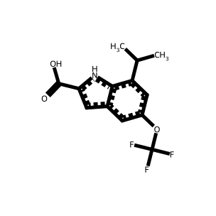 CC(C)c1cc(OC(F)(F)F)cc2cc(C(=O)O)[nH]c12